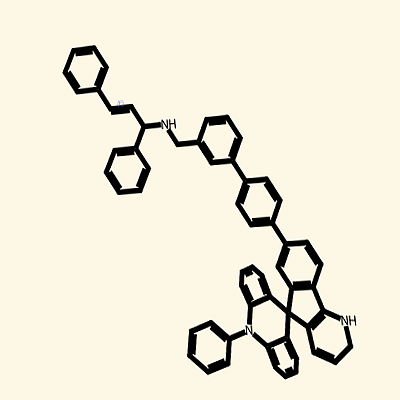 C1=CC2=C(NC1)c1ccc(-c3ccc(-c4cccc(CNC(/C=C/c5ccccc5)c5ccccc5)c4)cc3)cc1C21c2ccccc2N(c2ccccc2)c2ccccc21